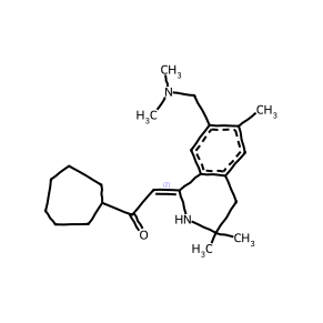 Cc1cc2c(cc1CN(C)C)/C(=C/C(=O)C1CCCCCC1)NC(C)(C)C2